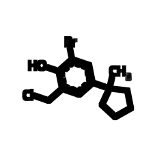 CC1(c2cc(Br)c(O)c(CCl)c2)CCCC1